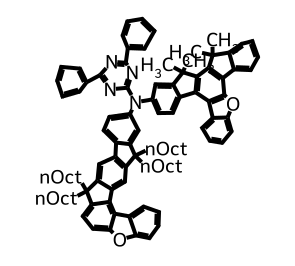 CCCCCCCCC1(CCCCCCCC)c2cc(N(c3ccc4c(c3)C(C)(C)c3c5c(c6oc7ccccc7c6c3-4)-c3ccccc3C5(C)C)c3nc(-c4ccccc4)nc(-c4ccccc4)n3)ccc2-c2cc3c(cc21)-c1c(ccc2oc4ccccc4c12)C3(CCCCCCCC)CCCCCCCC